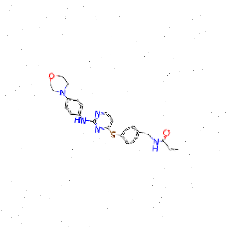 C=CC(=O)NCc1ccc(Sc2ccnc(Nc3ccc(N4CCOCC4)cc3)n2)cc1